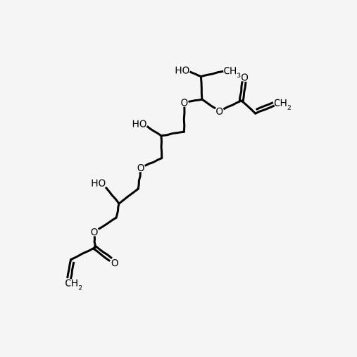 C=CC(=O)OCC(O)COCC(O)COC(OC(=O)C=C)C(C)O